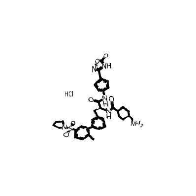 Cc1ccc(S(=O)(=O)N2CCCC2)cc1-c1cccc(C[C@H](NC(=O)C2CCC(CN)CC2)C(=O)Nc2ccc(-c3noc(=O)[nH]3)cc2)c1.Cl